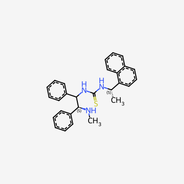 CN[C@@H](c1ccccc1)C(NC(=S)N[C@@H](C)c1cccc2ccccc12)c1ccccc1